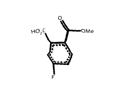 COC(=O)c1ccc(F)cc1C(=O)O